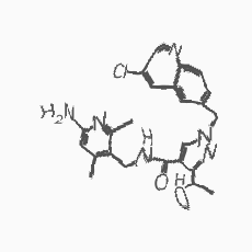 Cc1cc(N)nc(C)c1CNC(=O)c1cn(Cc2ccc3ncc(Cl)cc3c2)nc1C(C)O